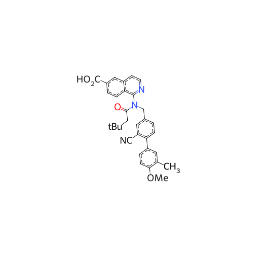 COc1ccc(-c2ccc(CN(C(=O)CC(C)(C)C)c3nccc4cc(C(=O)O)ccc34)cc2C#N)cc1C